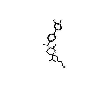 CC(C)C1(CCCO)CCN([C@@H](C)c2ccc(-c3ccn(C)c(=O)c3)cc2)C(=O)O1